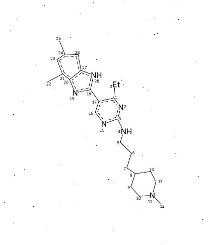 CCc1nc(NCCCC2CCN(C)CC2)ncc1-c1nc2c(C)cc(C)cc2[nH]1